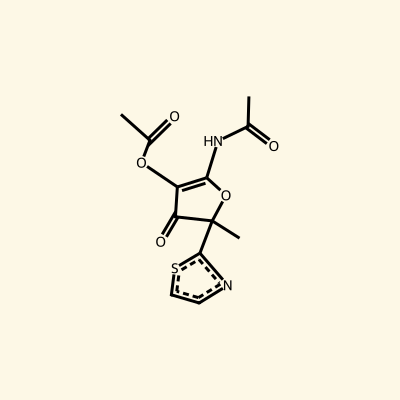 CC(=O)NC1=C(OC(C)=O)C(=O)C(C)(c2nccs2)O1